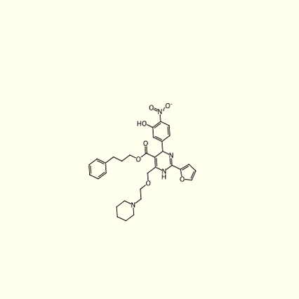 O=C(OCCCc1ccccc1)C1=C(COCCN2CCCCC2)NC(c2ccco2)=NC1c1ccc([N+](=O)[O-])c(O)c1